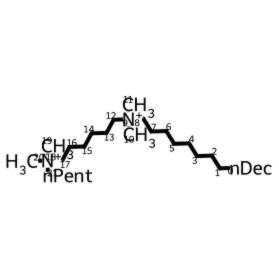 CCCCCCCCCCCCCCCCCC[N+](C)(C)CCCCCC[N+](C)(C)CCCCC